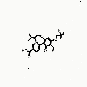 CC[C@H]1C(=O)C2=C(C=C1OCC(F)(F)F)OCC(C(C)C)N1C=C(C(=O)O)CC=C21